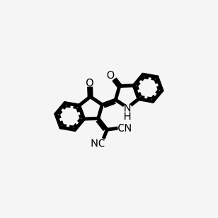 N#CC(C#N)=C1/C(=C2\Nc3ccccc3C2=O)C(=O)c2ccccc21